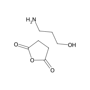 NCCCO.O=C1CCC(=O)O1